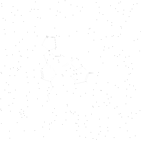 O=S(=O)(NCC1(Cc2ccc(CCO)cc2)CCCC1)c1ccc(Cl)c(C(F)(F)F)c1